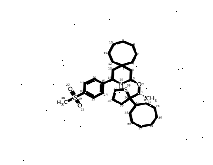 C[C@@H](OC1CC2(CCCCCCC2)CC(c2ccc(S(C)(=O)=O)cc2)N1)C1(C2CCCCCCC2)CCCS1